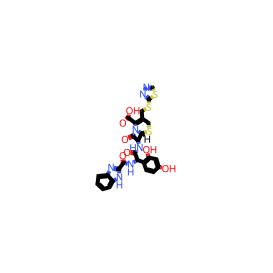 O=C(O)C1=C(CSc2nncs2)CS[C@@H]2C(NC(=O)C(NC(=O)c3nc4ccccc4[nH]3)c3ccc(O)cc3O)C(=O)N12